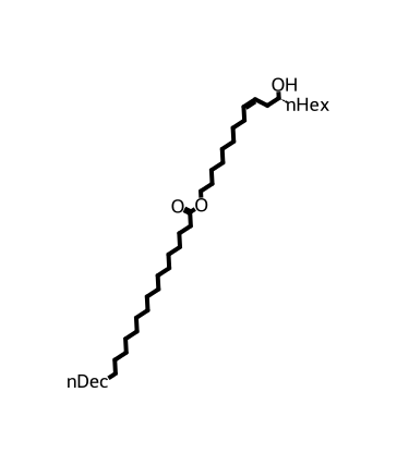 CCCCCCCCCCCCCCCCCCCCCCCCCC(=O)OCCCCCCCC/C=C\C[C@H](O)CCCCCC